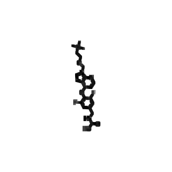 C[Si](C)(C)CCOCn1ccc2c(Oc3c(F)cc(CNC(=O)O)cc3F)ccnc21